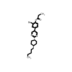 CCCCC[C@H]1CC[C@H](c2ncc(-c3ccc(OC(=O)CC)c(Br)c3)cn2)CC1